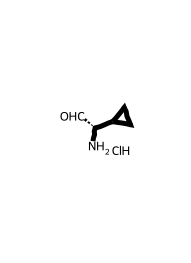 Cl.N[C@H](C=O)C1CC1